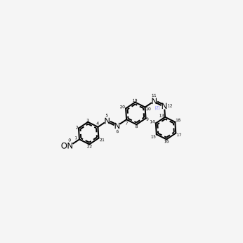 O=Nc1ccc(N=Nc2ccc(/N=N\c3ccccc3)cc2)cc1